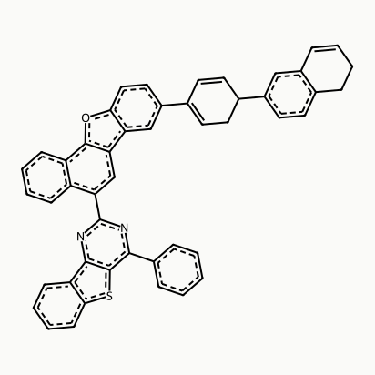 C1=Cc2cc(C3C=CC(c4ccc5oc6c7ccccc7c(-c7nc(-c8ccccc8)c8sc9ccccc9c8n7)cc6c5c4)=CC3)ccc2CC1